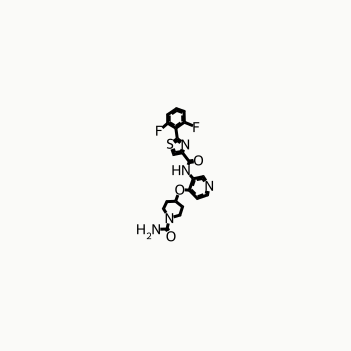 NC(=O)N1CCC(Oc2ccncc2NC(=O)c2csc(-c3c(F)cccc3F)n2)CC1